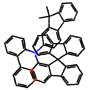 CC1(C)c2ccccc2-c2ccc(N(c3ccccc3-c3ccccc3)c3cccc4c3C3(c5ccccc5-c5ccccc53)c3ccccc3-4)cc21